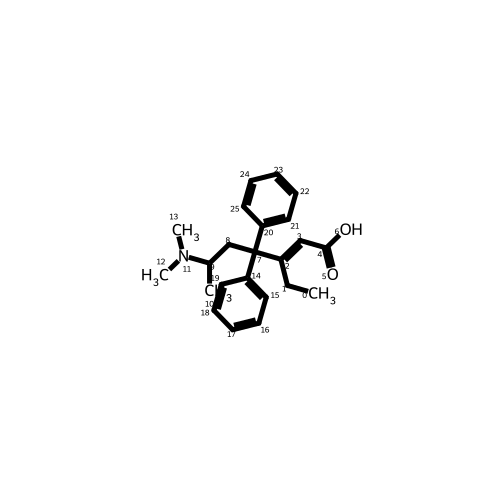 CC/C(=C\C(=O)O)C(CC(C)N(C)C)(c1ccccc1)c1ccccc1